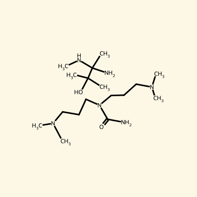 CN(C)CCCN(CCCN(C)C)C(N)=O.CNC(C)(N)C(C)(C)O